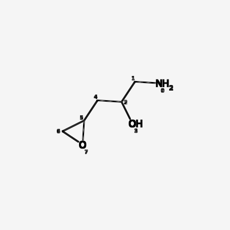 NCC(O)CC1CO1